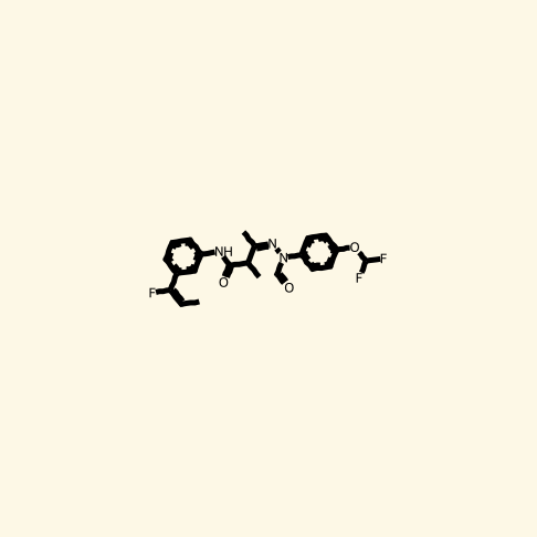 C/C=C(/F)c1cccc(NC(=O)C(C)/C(C)=N\N(C=O)c2ccc(OC(F)F)cc2)c1